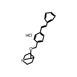 C(=Cc1ccc(COC2CN3CCC2CC3)cc1)c1ccccc1.Cl